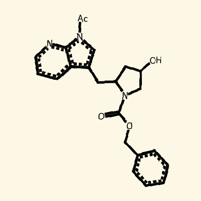 CC(=O)n1cc(CC2CC(O)CN2C(=O)OCc2ccccc2)c2cccnc21